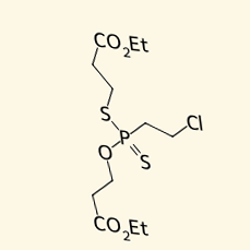 CCOC(=O)CCOP(=S)(CCCl)SCCC(=O)OCC